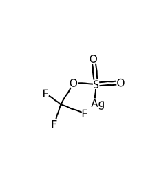 O=[S](=O)([Ag])OC(F)(F)F